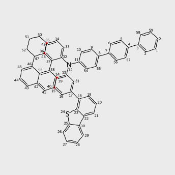 c1ccc(-c2ccc(-c3ccc(N(c4cccc(-c5cccc6c5sc5ccccc56)c4)c4ccccc4-c4cccc5cccc(C6CCCCC6)c45)cc3)cc2)cc1